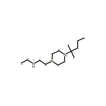 CCCC(C)(C)N1CCN(CCNCC)CC1